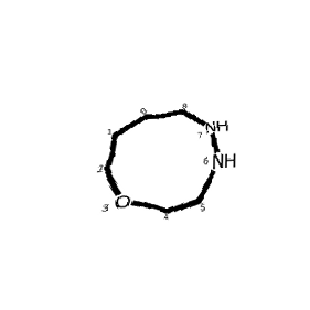 C1CCOCCNNC1